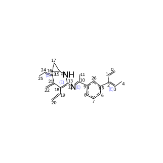 C=C/C(=C\C)c1cccc(/C(C)=N/C(NC2CC2)=C(\C=C)C(=C)/C=C\C)c1